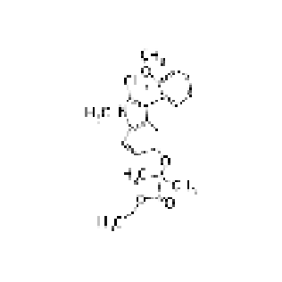 CCOC(=O)C(C)(C)Oc1ccc2c(c1)c(-c1ccccc1OC)c(C)n2C